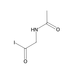 CC(=O)NCC(=O)I